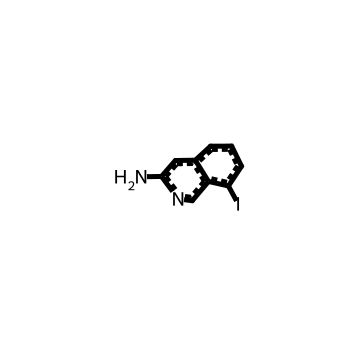 Nc1cc2cccc(I)c2cn1